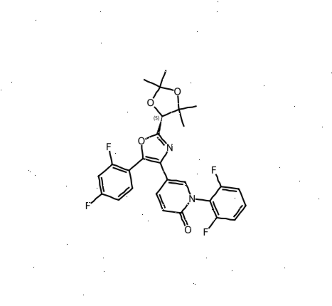 CC1(C)O[C@H](c2nc(-c3ccc(=O)n(-c4c(F)cccc4F)c3)c(-c3ccc(F)cc3F)o2)C(C)(C)O1